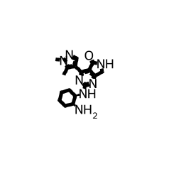 Cc1c(-c2nc(N[C@@H]3CCCC[C@@H]3N)nc3c2C(=O)NC3)cnn1C